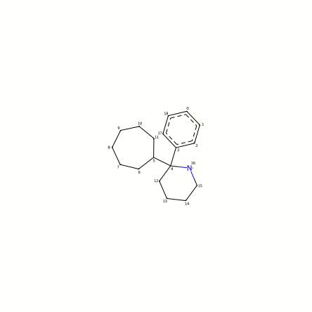 c1ccc(C2(C3CCCCCC3)CCCC[N]2)cc1